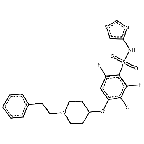 O=S(=O)(Nc1cscn1)c1c(F)cc(OC2CCN(CCc3ccccc3)CC2)c(Cl)c1F